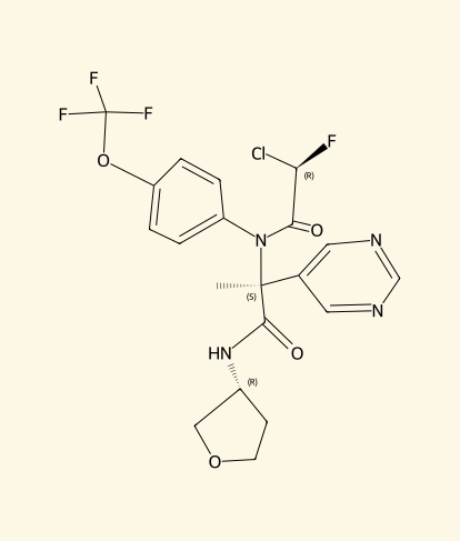 C[C@@](C(=O)N[C@@H]1CCOC1)(c1cncnc1)N(C(=O)[C@H](F)Cl)c1ccc(OC(F)(F)F)cc1